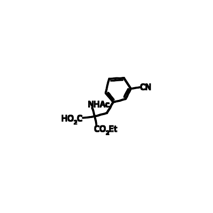 CCOC(=O)C(Cc1cccc(C#N)c1)(NC(C)=O)C(=O)O